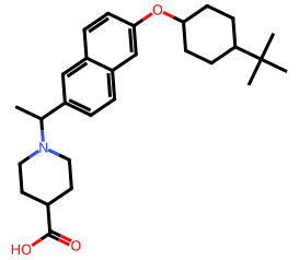 CC(c1ccc2cc(OC3CCC(C(C)(C)C)CC3)ccc2c1)N1CCC(C(=O)O)CC1